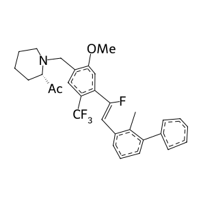 COc1cc(/C(F)=C/c2cccc(-c3ccccc3)c2C)c(C(F)(F)F)cc1CN1CCCC[C@H]1C(C)=O